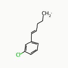 [CH2]CCC=Cc1cccc(Cl)c1